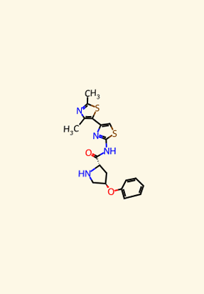 Cc1nc(C)c(-c2csc(NC(=O)[C@@H]3C[C@@H](Oc4ccccc4)CN3)n2)s1